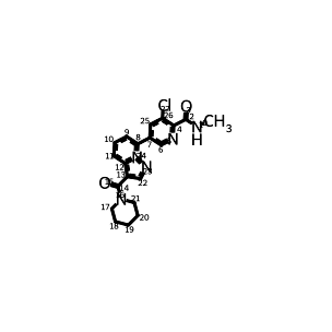 CNC(=O)c1ncc(-c2cccc3c(C(=O)N4CCCCC4)cnn23)cc1Cl